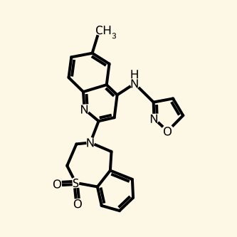 Cc1ccc2nc(N3CCS(=O)(=O)c4ccccc4C3)cc(Nc3ccon3)c2c1